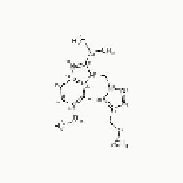 CCCc1cnn(Cn2c(C(C)C)nc3ccc(OC)cc32)c1